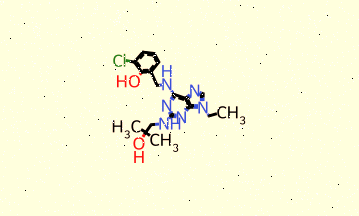 CCn1cnc2c(NCc3cccc(Cl)c3O)nc(NCC(C)(C)O)nc21